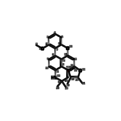 COc1cccc2c1-c1ccc3c(c1/C(=C\c1nc(C)c(C)o1)O2)C(C)=CC(C)(C)N3